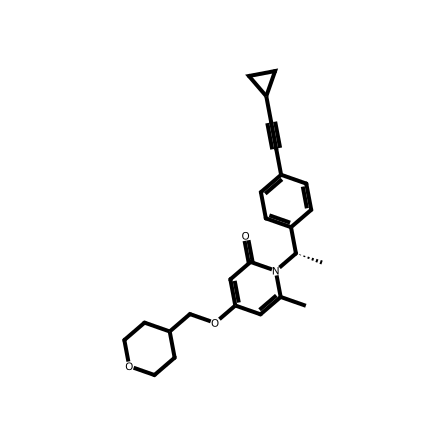 Cc1cc(OCC2CCOCC2)cc(=O)n1[C@@H](C)c1ccc(C#CC2CC2)cc1